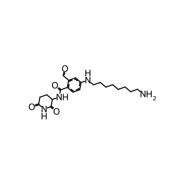 NCCCCCCCCNc1ccc(C(=O)NC2CCC(=O)NC2=O)c(C=O)c1